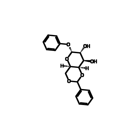 O[C@@H]1[C@@H](O)[C@@H](Oc2ccccc2)O[C@@H]2COC(c3ccccc3)O[C@H]12